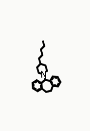 CCCCCC1CCN(C2c3ccccc3CCc3ccccc32)CC1